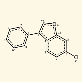 Clc1ccc2c(-c3ccccc3)coc2c1